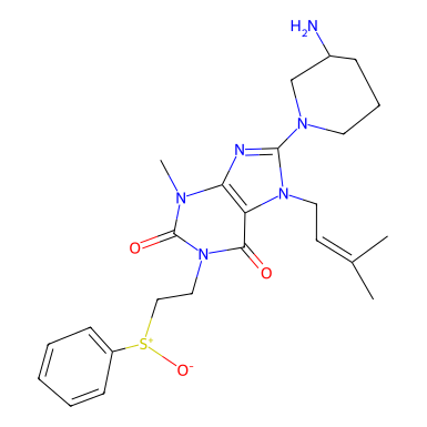 CC(C)=CCn1c(N2CCCC(N)C2)nc2c1c(=O)n(CC[S+]([O-])c1ccccc1)c(=O)n2C